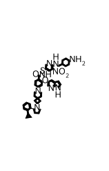 NC1CCC(CNc2ncc(SNC(=O)c3ccc(N4CCC5(CC4)CC(N4CCC[C@H]4c4ccccc4C4CC4)C5)cc3Oc3cnc4[nH]ccc4c3)cc2[N+](=O)[O-])CC1